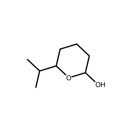 CC(C)C1CCCC(O)O1